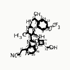 Cc1nc(N[C@H](C)c2ccc(OC(F)(F)F)cc2)nc(N[C@]2(O)C[C@H](CO)C2O)c1-c1nc2c(CCC#N)nccc2s1